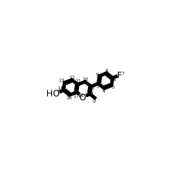 CC1=C(c2ccc(F)cc2)Cc2ccc(O)cc2O1